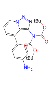 CC(C)(C)OC(=O)N(C(=O)OC(C)(C)C)c1nnn2cccc(-c3ccc(N)cc3)c12